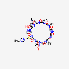 C/C=C/C[C@@H](C)[C@@H](O)[C@H]1C(=O)N[C@@H](CC)C(=O)N(C)[C@H](CSCCN2CCN(CC(C)C)CC2)C(=O)N(C)[C@@H](CC(C)(C)O)C(=O)N[C@@H](C(C)C)C(=O)N(C)[C@@H](CC(C)C)C(=O)N[C@@H](C)C(=O)N[C@H](C)C(=O)N(C)[C@@H](CC(C)C)C(=O)N(C)[C@@H](CC(C)C)C(=O)N(C)[C@@H](C(C)C)C(=O)N1C